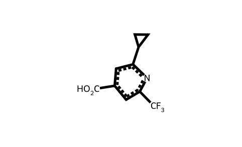 O=C(O)c1cc(C2CC2)nc(C(F)(F)F)c1